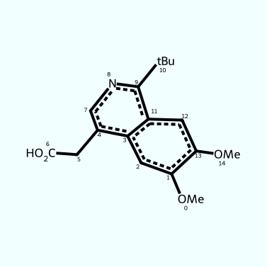 COc1cc2c(CC(=O)O)cnc(C(C)(C)C)c2cc1OC